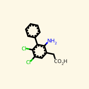 Nc1c(CC(=O)O)cc(Cl)c(Cl)c1-c1ccccc1